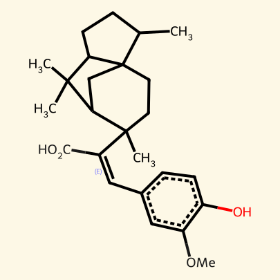 COc1cc(/C=C(/C(=O)O)C2(C)CCC34CC2C(C)(C)C3CCC4C)ccc1O